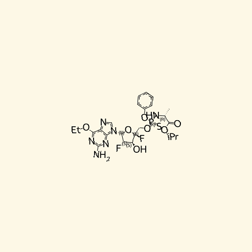 CCOc1nc(N)nc2c1ncn2[C@@H]1O[C@](F)(CO[P@](=S)(N[C@H](C)C(=O)OC(C)C)Oc2ccccc2)[C@@H](O)[C@@H]1F